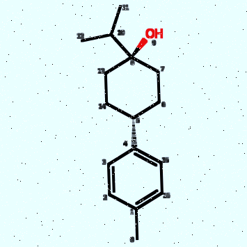 Cc1ccc([C@H]2CC[C@@](O)(C(C)C)CC2)cc1